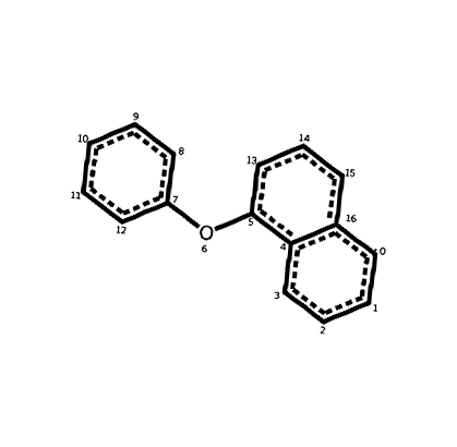 [c]1cccc2c(Oc3ccccc3)cccc12